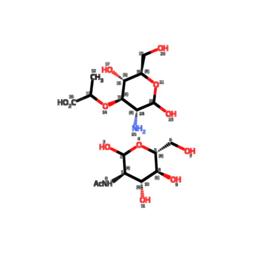 CC(=O)N[C@H]1C(O)O[C@H](CO)[C@@H](O)[C@@H]1O.CC(O[C@H]1[C@H](O)[C@@H](CO)OC(O)[C@@H]1N)C(=O)O